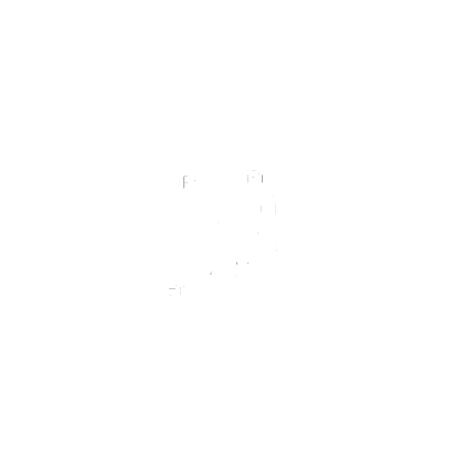 CC(C)C(=C(CCBr)P(=O)(O)O)C(C)C